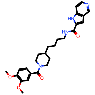 COc1ccc(C(=O)N2CCC(CCCCNC(=O)c3cc4cnccc4[nH]3)CC2)cc1OC